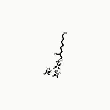 CS(=O)(=O)O.CS(=O)(=O)O.CS(=O)(=O)O.OCCCCCCC(O)CO